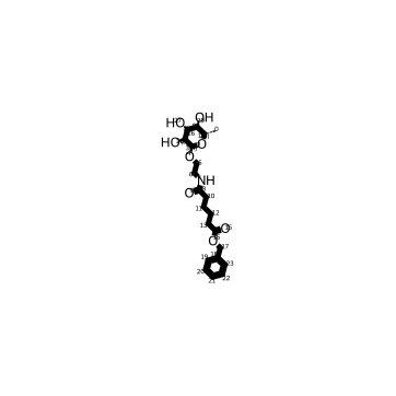 C[C@@H]1O[C@@H](OCCNC(=O)CCCCC(=O)OCc2ccccc2)[C@@H](O)[C@H](O)[C@@H]1O